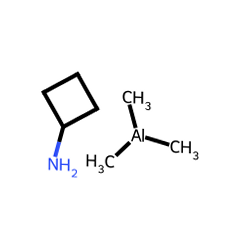 NC1CCC1.[CH3][Al]([CH3])[CH3]